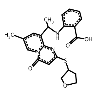 Cc1cc(C(C)Nc2ccccc2C(=O)O)c2nc(SC3CCOC3)cc(=O)n2c1